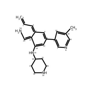 C=C/C=c1/cc(-c2cncc(C)c2)cc(NC2CCNCC2)/c1=C/N